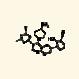 Cc1cc(F)cc(-c2cnc3ncc(-c4cccc(C#N)c4O)cc3c2N2CCC(N)CC2)c1